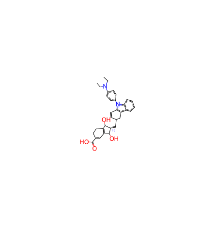 CCN(CC)c1ccc(-n2c3c(c4ccccc42)CC(/C=C2/C(O)C4=C(CCC(C(=O)O)=C4)C2O)C=C3)cc1